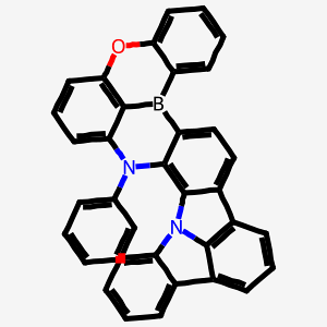 c1ccc(N2c3cccc4c3B(c3ccccc3O4)c3ccc4c5cccc6c7ccccc7n(c4c32)c65)cc1